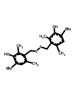 Cc1cc(C(C)(C)C)c(O)c(C)c1CSSCc1c(C)cc(C(C)(C)C)c(O)c1C